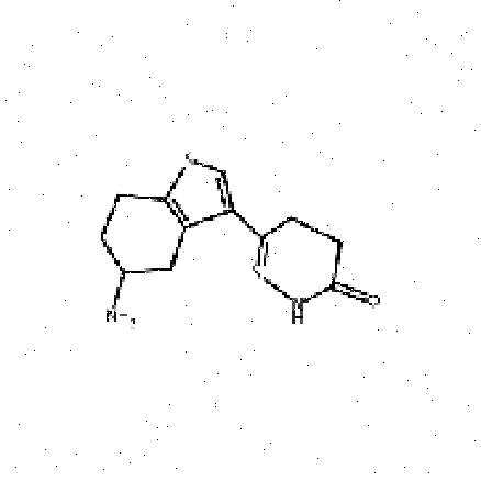 NC1CCc2scc(C3=NNC(=O)CC3)c2C1